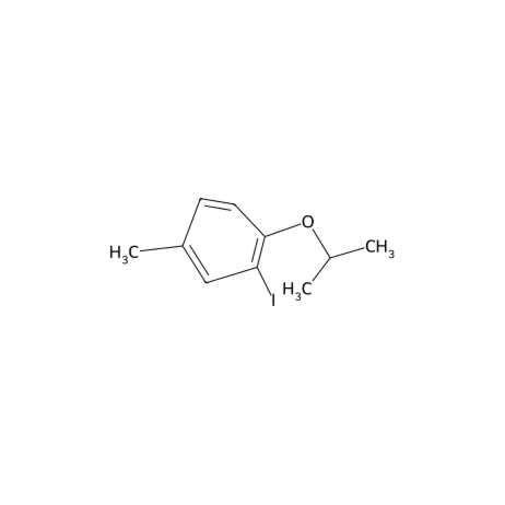 Cc1ccc(OC(C)C)c(I)c1